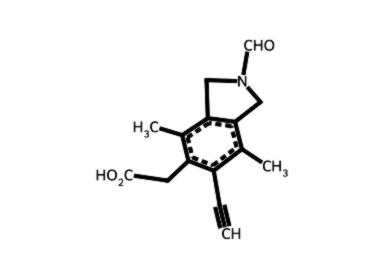 C#Cc1c(C)c2c(c(C)c1CC(=O)O)CN(C=O)C2